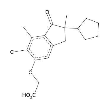 Cc1c(Cl)c(OCC(=O)O)cc2c1C(=O)C(C)(C1CCCC1)C2